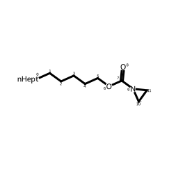 CCCCCCCCCCCCOC(=O)N1[CH]C1